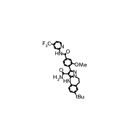 COc1cc(C(=O)Nc2cc(C(F)(F)F)ccn2)ccc1-c1nn2c(c1C(N)=O)Nc1ccc(C(C)(C)C)cc1CC2